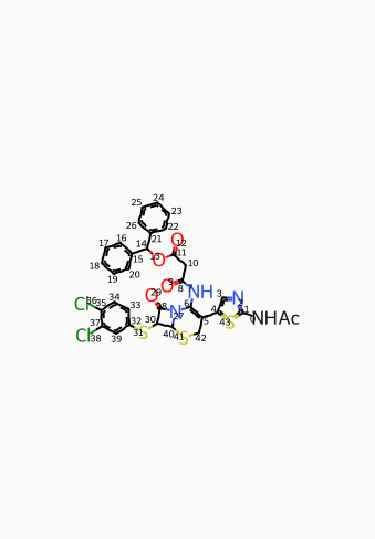 CC(=O)Nc1ncc(C2=C(NC(=O)CC(=O)OC(c3ccccc3)c3ccccc3)N3C(=O)C(Sc4ccc(Cl)c(Cl)c4)C3SC2)s1